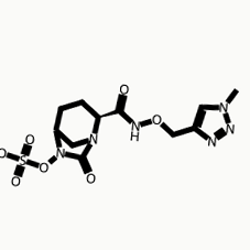 Cn1cc(CONC(=O)[C@@H]2CCC3CN2C(=O)N3OS(=O)(=O)O)nn1